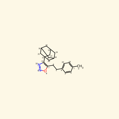 Cc1ccc(CCc2onnc2C23CC4CC(CC(C4)C2)C3)cc1